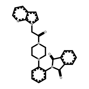 O=C(Cn1ccc2cccnc21)N1CCN(c2ccccc2N2C(=O)c3ccccc3C2=O)CC1